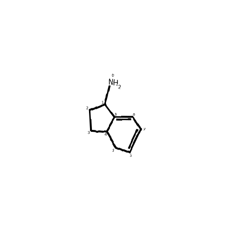 NC1CCC2CC=CC=C12